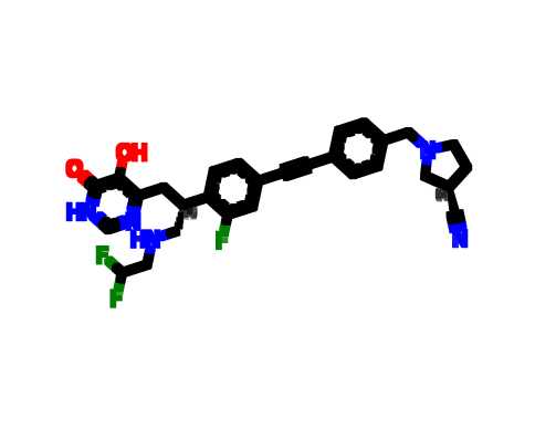 N#C[C@@H]1CCN(Cc2ccc(C#Cc3ccc([C@H](CNCC(F)F)Cc4nc[nH]c(=O)c4O)c(F)c3)cc2)C1